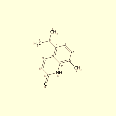 Cc1ccc(C(C)C)c2ccc(=O)[nH]c12